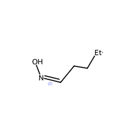 C[CH]CC/C=N\O